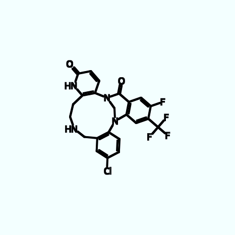 O=C1c2cc(F)c(C(F)(F)F)cc2N2CN1c1ccc(=O)[nH]c1CCNCc1cc(Cl)ccc12